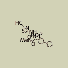 C#Cc1nc(NC(=O)NC(C(=O)NC)c2ccc(-c3ccccc3)cc2C2(O)CC2)cs1